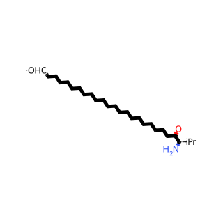 CC(C)[C@H](N)C(=O)CCCCCCCCCCCCCCCCCCCCC[C]=O